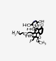 COC(=O)C1=C(CF)NC(COCCN)=C(C(=O)O)C1c1cccc(Cl)c1C(F)(F)F.O=C(O)/C=C\C(=O)O